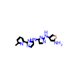 Cc1cccc(-c2nccc(Nc3ccnc(Nc4csc(N)c4)n3)n2)n1